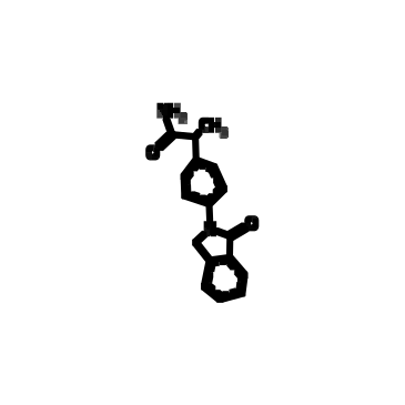 CC(C(N)=O)c1ccc(N2Cc3ccccc3C2=O)cc1